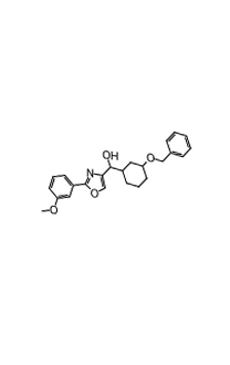 COc1cccc(-c2nc(C(O)C3CCCC(OCc4ccccc4)C3)co2)c1